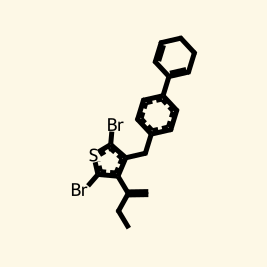 C=C(CC)c1c(Br)sc(Br)c1Cc1ccc(C2=CCCC=C2)cc1